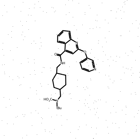 CC(C)(C)N(CC1CCC(CNC(=O)c2cc(Oc3cccnc3)nc3ccccc23)CC1)C(=O)O